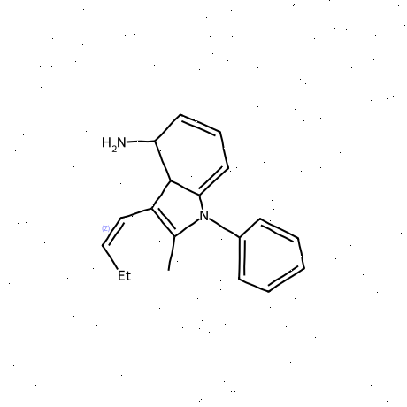 CC/C=C\C1=C(C)N(c2ccccc2)C2=CC=CC(N)C21